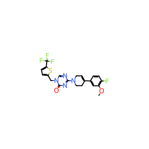 COc1cc(C2=CCN(c3ncn(Cc4ccc(C(F)(F)F)s4)c(=O)n3)CC2)ccc1F